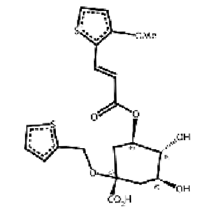 COc1ccsc1C=CC(=O)O[C@@H]1C[C@](OCc2cccs2)(C(=O)O)C[C@H](O)[C@H]1O